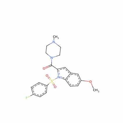 COc1ccc2c(c1)cc(C(=O)N1CCN(C)CC1)n2S(=O)(=O)c1ccc(F)cc1